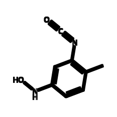 Cc1ccc(NO)cc1N=C=O